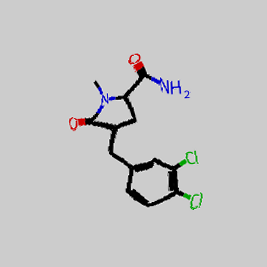 CN1C(=O)C(Cc2ccc(Cl)c(Cl)c2)CC1C(N)=O